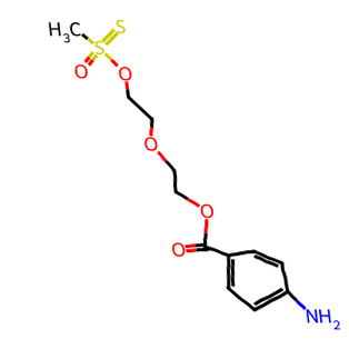 CS(=O)(=S)OCCOCCOC(=O)c1ccc(N)cc1